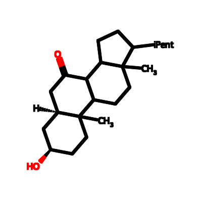 CCCC(C)C1CCC2C3C(=O)C[C@@H]4C[C@H](O)CCC4(C)C3CCC12C